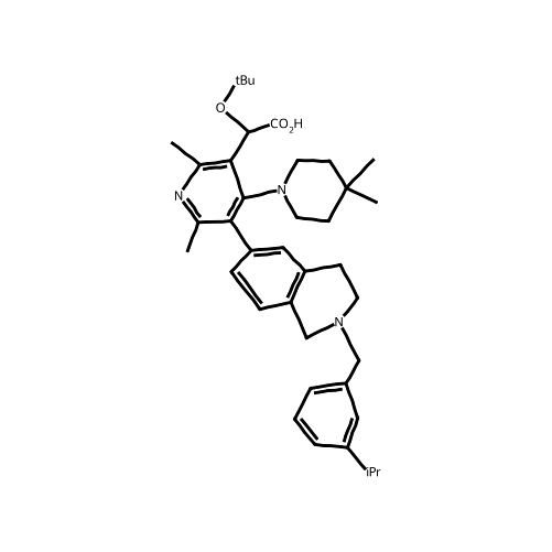 Cc1nc(C)c(C(OC(C)(C)C)C(=O)O)c(N2CCC(C)(C)CC2)c1-c1ccc2c(c1)CCN(Cc1cccc(C(C)C)c1)C2